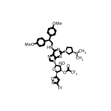 CCc1cc([C@H]2O[C@@H](n3cnc4c(NCC(c5ccc(OC)cc5)c5ccc(OC)cc5)nc(N5CC[C@@H](N(C)C)C5)nc43)[C@H](O)[C@@H]2OC(=O)C(F)(F)F)on1